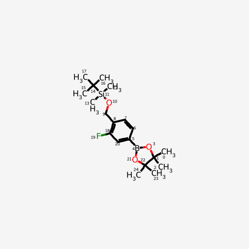 CC1(C)OB(c2ccc(CO[Si](C)(C)C(C)(C)C)c(F)c2)OC1(C)C